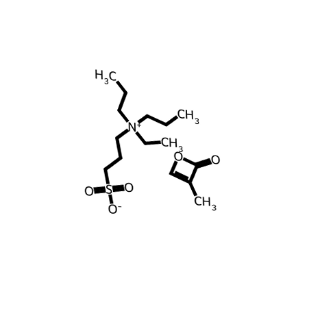 CC1=COC1=O.CCC[N+](CC)(CCC)CCCS(=O)(=O)[O-]